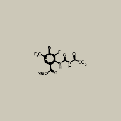 COC(=O)c1cc(C(F)(F)F)c(Br)c(F)c1NC(=O)NC(=O)C(Cl)(Cl)Cl